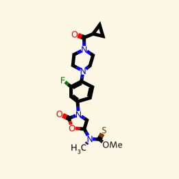 COC(=S)N(C)C1CN(c2ccc(N3CCN(C(=O)C4CC4)CC3)c(F)c2)C(=O)O1